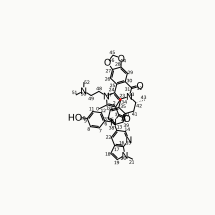 Cc1c(C(=O)N(c2ccc(O)cc2)c2cnc3c(ccn3C)c2)cc(-c2cc3c(cc2C(=O)N2Cc4ccccc4C[C@H]2C)OCO3)n1CCN(C)C